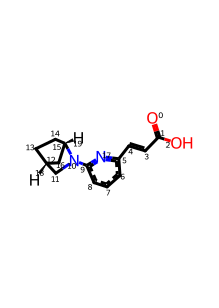 O=C(O)/C=C/c1cccc(N2C[C@@H]3CC[C@H]2C3)n1